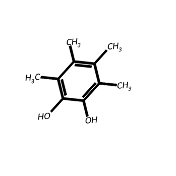 Cc1c(C)c(C)c(O)c(O)c1C